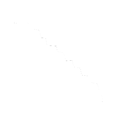 [CH2]C#CCCCCCCCCCCCCCCCCCCCCCCCCCC[CH2]